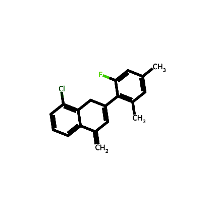 C=C1C=C(c2c(C)cc(C)cc2F)Cc2c(Cl)cccc21